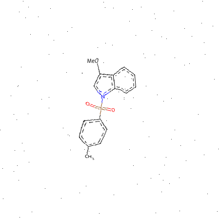 COc1cn(S(=O)(=O)c2ccc(C)cc2)c2ccccc12